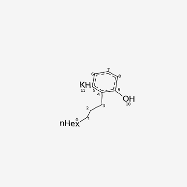 CCCCCCCCCc1ccccc1O.[KH]